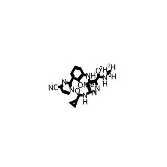 [2H]C([2H])([2H])NC(=O)c1nnc(NC(=O)C2CC2)cc1Nc1cccc(-c2nccc(C#N)n2)c1OC